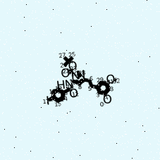 COc1cc(CCc2cc(NC(=O)c3ccc(I)cc3)n(C(=O)OC(C)(C)C)n2)cc(OC)c1